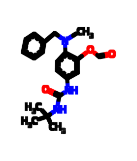 CN(Cc1ccccc1)c1ccc(NC(=O)NC(C)(C)C)cc1OC=O